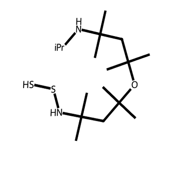 CC(C)NC(C)(C)CC(C)(C)OC(C)(C)CC(C)(C)NSS